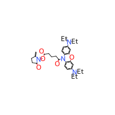 C=C1CCC(=O)N1OC(=O)CCCC(=O)N1c2ccc(N(CC)CC)cc2Oc2cc(N(CC)CC)ccc21